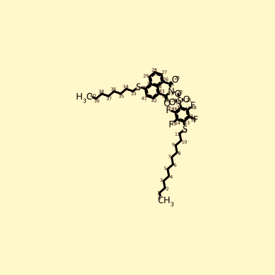 CCCCCCCCCCCCSc1c(F)c(F)c(S(=O)(=O)ON2C(=O)c3cccc4c(SCCCCCCCC)ccc(c34)C2=O)c(F)c1F